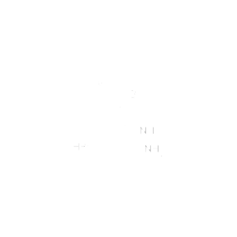 Br.NNc1cccc(Br)c1Br